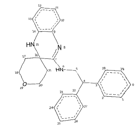 c1ccc(C(CNC2=Nc3ccccc3NC23CCOCC3)c2ccccc2)cc1